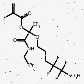 C=C(F)C(=O)OC(OCCCC(F)(F)C(F)(F)S(=O)(=O)O)(C(=O)NCC(C)C)C(F)(F)F